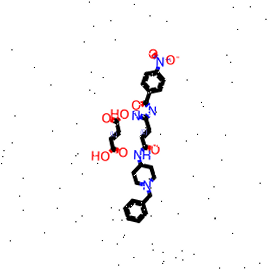 O=C(/C=C/c1noc(-c2ccc([N+](=O)[O-])cc2)n1)NC1CCN(Cc2ccccc2)CC1.O=C(O)/C=C/C(=O)O